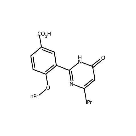 CCCOc1ccc(C(=O)O)cc1-c1nc(C(C)C)cc(=O)[nH]1